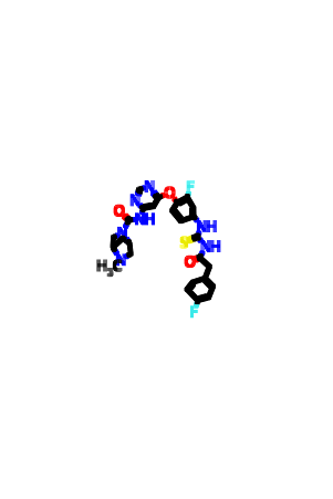 CN1CC2CC1CN2C(=O)Nc1cc(Oc2ccc(NC(=S)NC(=O)Cc3ccc(F)cc3)cc2F)ncn1